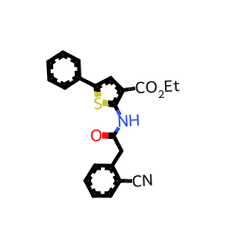 CCOC(=O)c1cc(-c2ccccc2)sc1NC(=O)Cc1ccccc1C#N